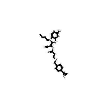 CCCCN1/C(=C(\C#N)OC(=O)CCOCc2ccc(C3CO3)cc2)Oc2cc(Cl)ccc21